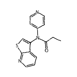 CCC(=O)N(c1ccncc1)c1csc2ncccc12